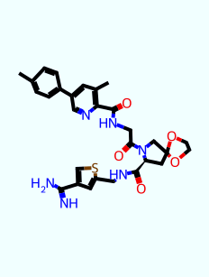 Cc1ccc(-c2cnc(C(=O)NCC(=O)N3CC4(C[C@H]3C(=O)NCc3cc(C(=N)N)cs3)OCCO4)c(C)c2)cc1